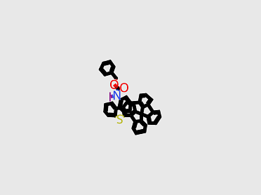 O=C(OCc1ccccc1)N(I)c1cccc(-c2cccc3c2C2(c4ccccc4-3)c3ccccc3-c3c2ccc2c3sc3ccccc32)c1